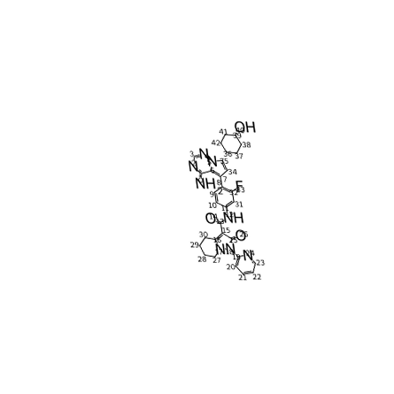 Nc1ncnn2c1c(-c1ccc(NC(=O)c3c4n(n(-c5ccccn5)c3=O)CCCC4)cc1F)cc2[C@H]1CC[C@H](O)CC1